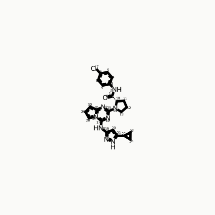 O=C(Nc1ccc(Cl)cc1)[C@@H]1CCCN1c1nc(Nc2cc(C3CC3)[nH]n2)n2cccc2n1